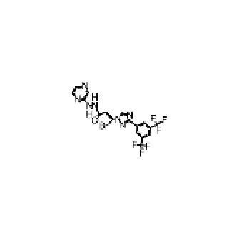 O=C(C=C(Br)n1cnc(-c2cc(C(F)(F)F)cc(C(F)(F)F)c2)n1)NNc1cnccn1